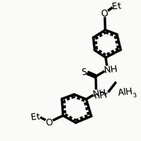 CCCC.CCOc1ccc(NC(=S)Nc2ccc(OCC)cc2)cc1.[AlH3]